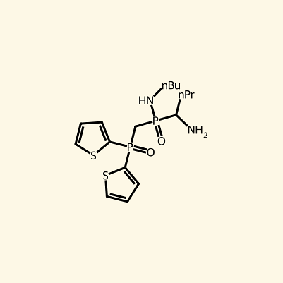 CCCCNP(=O)(CP(=O)(c1cccs1)c1cccs1)C(N)CCC